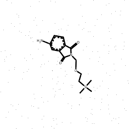 C[Si](C)(C)CCOCN1C(=O)c2ccc(N)cc2C1=O